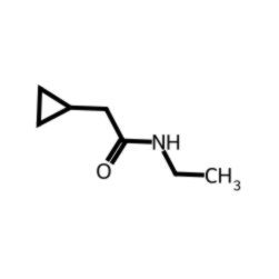 CCNC(=O)CC1CC1